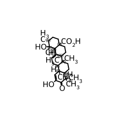 C[C@@H]1CC[C@]2(C(=O)O)CC[C@]3(C)C(=CC[C@@H]4[C@@]5(C)C=C(O)C(=O)C(C)(C)[C@@H]5CC[C@]43C)[C@@H]2[C@]1(C)O